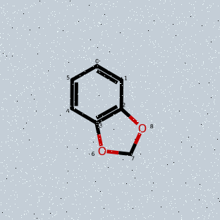 [c]1[c]c2c(cc1)OCO2